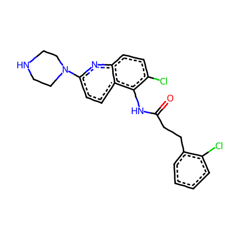 O=C(CCc1ccccc1Cl)Nc1c(Cl)ccc2nc(N3CCNCC3)ccc12